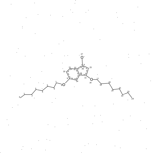 CCCCCCCCOc1ccc2c(c1)c(OCCCCCCCC)c[s+]2[O-]